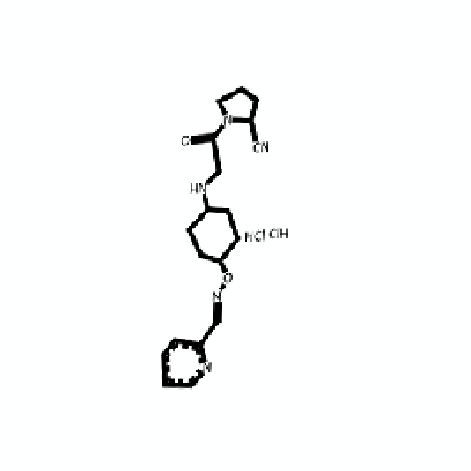 Cl.Cl.N#CC1CCCN1C(=O)CNC1CCC(O/N=C/c2ccccn2)CC1